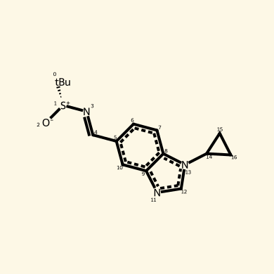 CC(C)(C)[S@@+]([O-])/N=C/c1ccc2c(c1)ncn2C1CC1